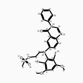 COc1cc(OC)c(F)c(N(CCOS(C)(=O)=O)c2ccc3ncn(-c4ccccc4)c(=O)c3c2)c1F